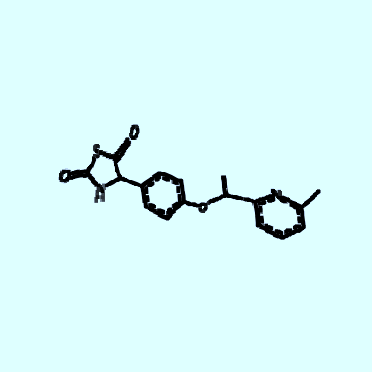 Cc1cccc(C(C)Oc2ccc(C3NC(=O)SC3=O)cc2)n1